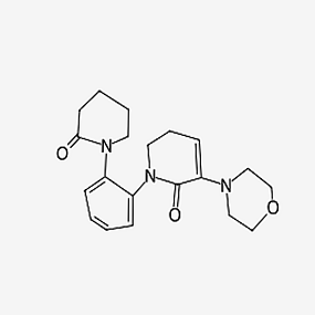 O=C1CCCCN1c1ccccc1N1CCC=C(N2CCOCC2)C1=O